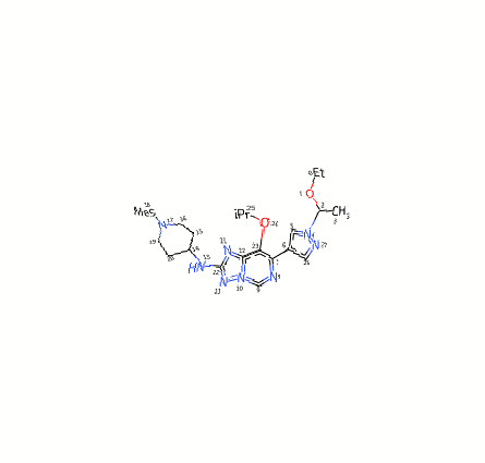 CCOC(C)n1cc(-c2ncn3nc(NC4CCN(SC)CC4)nc3c2OC(C)C)cn1